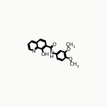 COc1ccc(NC(=O)c2ccc3cccnc3c2O)cc1OC